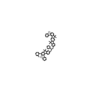 Cc1ccccc1-c1cc2c(c3c1oc1ccccc13)-c1ccc(CC(Cc3ccc4c(c3)C(C)(C)c3cc5c(cc3-4)C(C)(C)c3ccc4oc6ccccc6c4c3-5)c3ccccc3)cc1C2(C)C